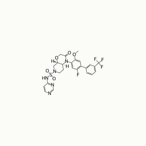 COc1cc(-c2cccc(C(F)(F)F)c2)c(F)cc1N1C(=O)CO[C@H]2CN(S(=O)(=O)Nc3ccncn3)CC[C@@H]21